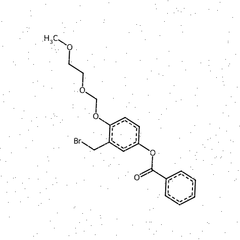 COCCOCOc1ccc(OC(=O)c2ccccc2)cc1CBr